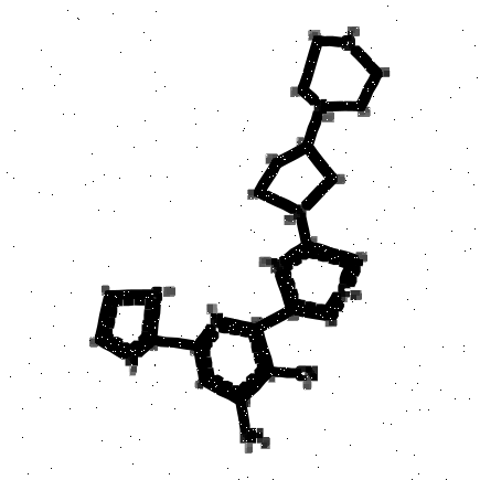 N#Cc1c(N)cc(-c2nccs2)nc1-c1cccc(N2CCC(N3CCOCC3)C2)n1